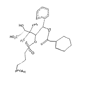 CC(=O)NCCCS(=O)(=O)OC(C(OC(=O)C1CCCCC1)c1ccccc1)C(C)(C)[C@@H](O)C(=O)O